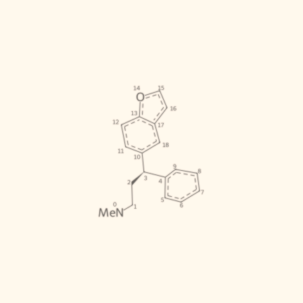 CNCC[C@H](c1ccccc1)c1ccc2occc2c1